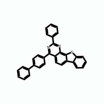 c1ccc(-c2ccc(-c3nc(-c4ccccc4)nc4c3ccc3c5ccccc5sc34)cc2)cc1